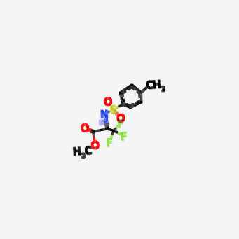 COC(=O)/C(=N/S(=O)(=O)c1ccc(C)cc1)C(F)(F)F